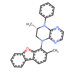 Cc1ccc2c(oc3ccccc32)c1N1C[C@H](C)N(c2ccccc2)c2nccnc21